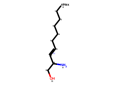 CCCCCCCCCCC/C=C/C(N)CO